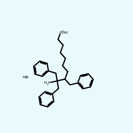 Br.CCCCCCCCCCCCCCCCC(Cc1ccccc1)C(P)(Cc1ccccc1)Cc1ccccc1